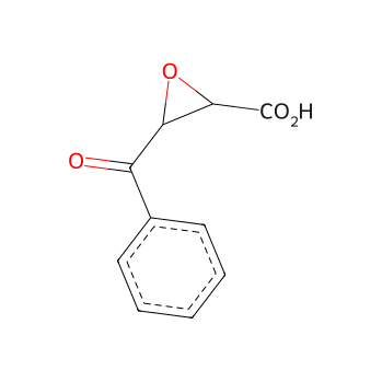 O=C(O)C1OC1C(=O)c1ccccc1